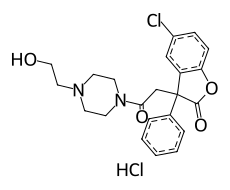 Cl.O=C(CC1(c2ccccc2)C(=O)Oc2ccc(Cl)cc21)N1CCN(CCO)CC1